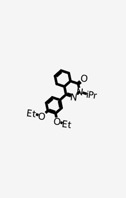 CCOc1ccc(C2=NN(C(C)C)C(=O)C3CC=CCC23)cc1OCC